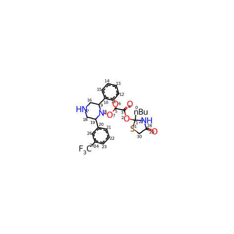 CCCCC1(OC(=O)C(=O)ON2C(c3ccccc3)CNCC2c2cccc(C(F)(F)F)c2)NC(=O)CS1